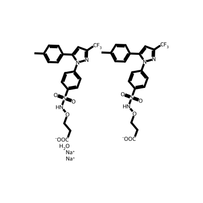 Cc1ccc(-c2cc(C(F)(F)F)nn2-c2ccc(S(=O)(=O)NOCCC(=O)[O-])cc2)cc1.Cc1ccc(-c2cc(C(F)(F)F)nn2-c2ccc(S(=O)(=O)NOCCC(=O)[O-])cc2)cc1.O.[Na+].[Na+]